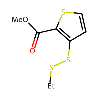 CCSSc1ccsc1C(=O)OC